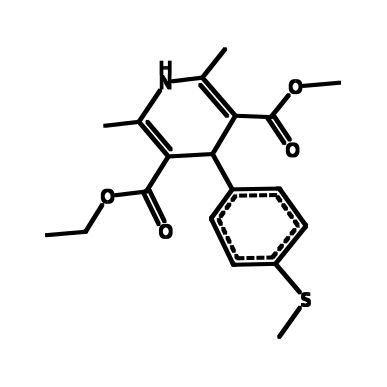 CCOC(=O)C1=C(C)NC(C)=C(C(=O)OC)C1c1ccc(SC)cc1